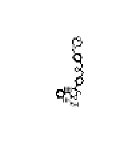 O=C(Cc1ccc(CN2CCOCC2)cc1)Cc1ccc(C(=O)NC(C(=O)NO)c2ccccc2)cc1